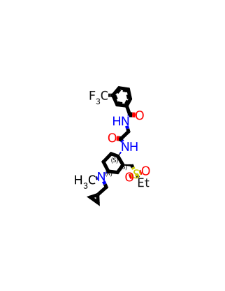 CCS(=O)(=O)C[C@H]1C[C@H](N(C)CC2CC2)CC[C@@H]1NC(=O)CNC(=O)c1cccc(C(F)(F)F)c1